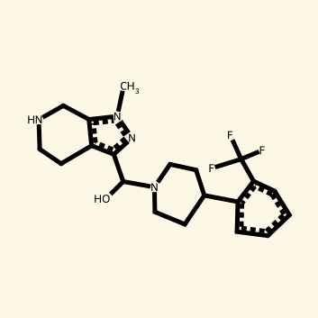 Cn1nc(C(O)N2CCC(c3ccccc3C(F)(F)F)CC2)c2c1CNCC2